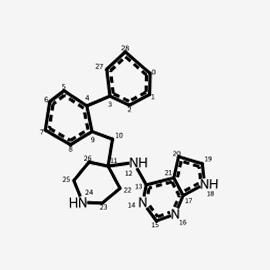 c1ccc(-c2ccccc2CC2(Nc3ncnc4[nH]ccc34)CCNCC2)cc1